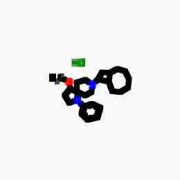 COC1CCN(c2ccccc2)C12CCN(C1CC3CCCCCCC31)CC2.Cl